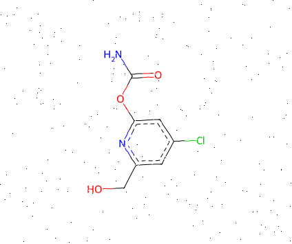 NC(=O)Oc1cc(Cl)cc(CO)n1